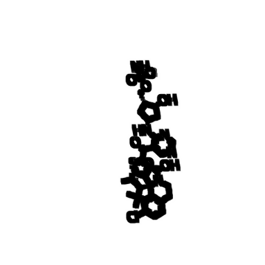 C[C](C)C(C(C)(C)C)[C@]1(c2csc(C(=O)c3cncnc3N[C@@H]3C[C@H](COS(N)(=O)=O)[C@@H](O)C3)c2)c2cc(Cl)ccc2CCN1C(=O)O